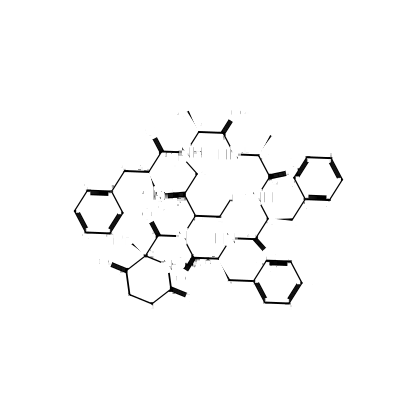 CON1C(=O)CCC(=O)[C@@]1(C(=O)N(C(=O)[C@H](Cc1ccccc1)NC(=O)[C@H](Cc1ccccc1)NC(=O)[C@H](C)NC(=O)[C@H](C)NC(=O)[C@@H](N)Cc1ccccc1)C(CC(C)C)C(=O)CF)C(C)C